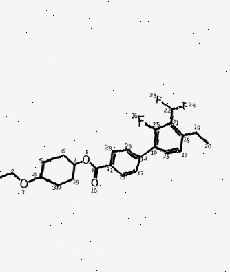 CCCOC1CCC(OC(=O)c2ccc(-c3ccc(CC)c(C(F)F)c3F)cc2)CC1